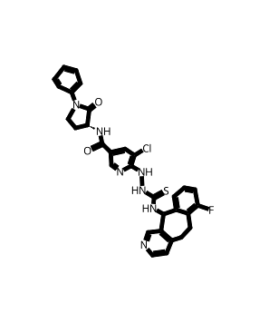 O=C(N[C@@H]1CCN(c2ccccc2)C1=O)c1cnc(NNC(=S)NC2c3cnccc3CCc3c(F)cccc32)c(Cl)c1